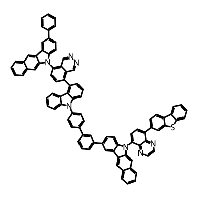 c1ccc(-c2ccc3c(c2)c2cc4ccccc4cc2n3-c2ccc(-c3cccc4c3c3ccccc3n4-c3ccc(-c4cccc(-c5ccc6c(c5)c5cc7ccccc7cc5n6-c5ccc(-c6ccc7c(c6)sc6ccccc67)c6nccnc56)c4)cc3)c3cnncc23)cc1